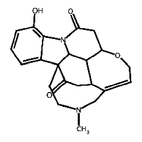 CN1CCC23C(=O)CC4C(=CCOC5CC(=O)N(c6c(O)cccc62)C3C54)C1